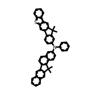 CC1(C)c2cc(N(c3ccccc3)c3ccc4c5c(ccc4c3)-c3cc4ccccc4cc3C5(C)C)ccc2-c2cc3sc4ccccc4c3cc21